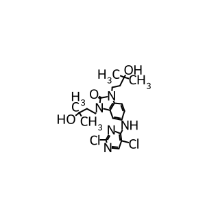 CC(C)(O)CCn1c(=O)n(CCC(C)(C)O)c2cc(Nc3nc(Cl)ncc3Cl)ccc21